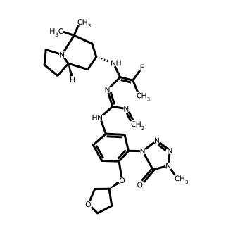 C=N/C(=N\C(N[C@@H]1C[C@@H]2CCCN2C(C)(C)C1)=C(/C)F)Nc1ccc(O[C@H]2CCOC2)c(-n2nnn(C)c2=O)c1